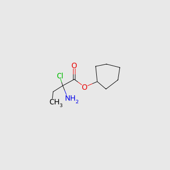 CCC(N)(Cl)C(=O)OC1CCCCC1